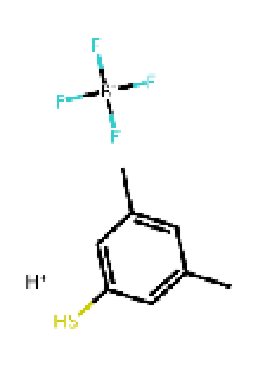 Cc1cc(C)cc(S)c1.F[B-](F)(F)F.[H+]